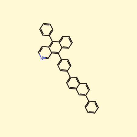 c1ccc(-c2ccc3cc(-c4ccc(-c5c6ccccc6c(-c6ccccc6)c6ccncc56)cc4)ccc3c2)cc1